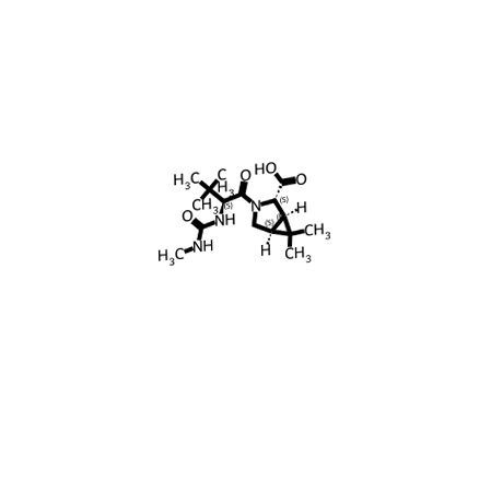 CNC(=O)N[C@H](C(=O)N1C[C@H]2[C@@H]([C@H]1C(=O)O)C2(C)C)C(C)(C)C